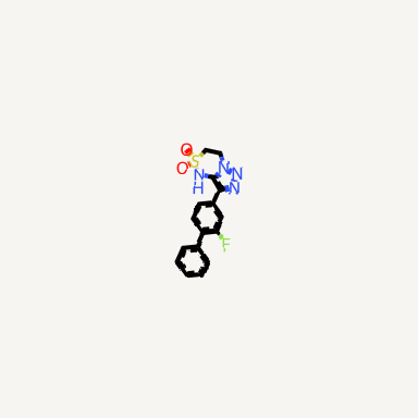 O=S1(=O)CCn2nnc(-c3ccc(-c4ccccc4)c(F)c3)c2N1